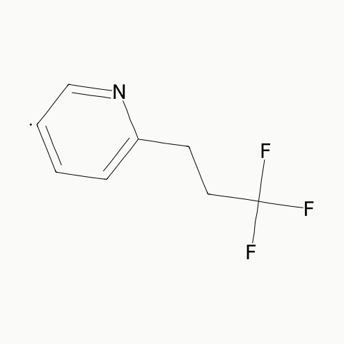 FC(F)(F)CCc1cc[c]cn1